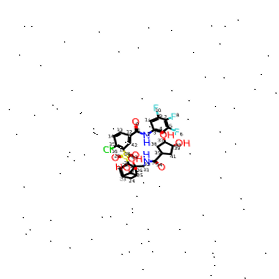 O=C(Nc1cc(F)c(F)c(F)c1)c1ccc(Cl)c(S(=O)(=O)C2C=C3CC(C2)[C@@]3(O)C(O)CNC(=O)C2CC(O)C(O)C2)c1